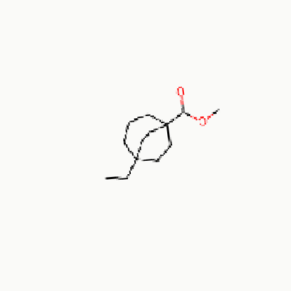 CCC12CCCC(C(=O)OC)(CC1)CC2